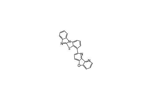 c1ccc2c(c1)nc1sc3c(-c4ccc5oc6cccnc6c5n4)cccc3n12